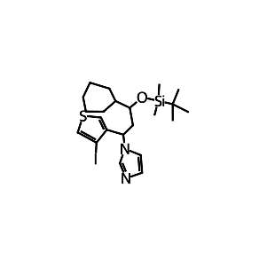 CC(C)(C)[Si](C)(C)OC(CC(c1cscc1I)n1ccnc1)C1CCCCC1